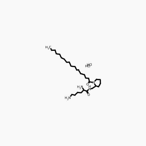 CCCCCCCCCCCCCCCCCC(=O)N1CCCCC1CNC(=O)C(N)CCCCN.Cl.Cl